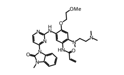 C=CC(=O)Nc1cc(Nc2nccc(-n3c(=O)n(C)c4ccccc43)n2)c(OCCOC)cc1N(C)CCN(C)C